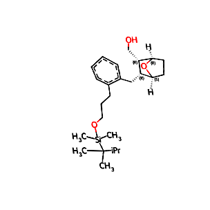 CC(C)C(C)(C)[Si](C)(C)OCCCc1ccccc1C[C@@H]1[C@H](CO)[C@H]2CC[C@@H]1O2